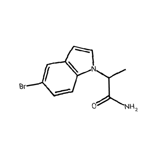 CC(C(N)=O)n1ccc2cc(Br)ccc21